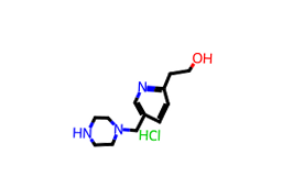 Cl.OCCc1ccc(CN2CCNCC2)cn1